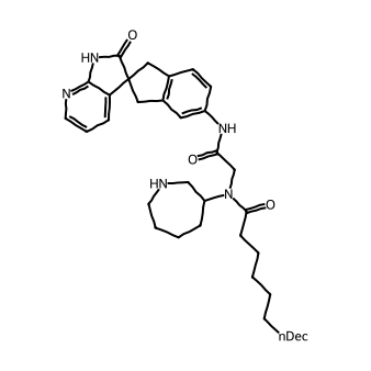 CCCCCCCCCCCCCCCC(=O)N(CC(=O)Nc1ccc2c(c1)CC1(C2)C(=O)Nc2ncccc21)C1CCCCNC1